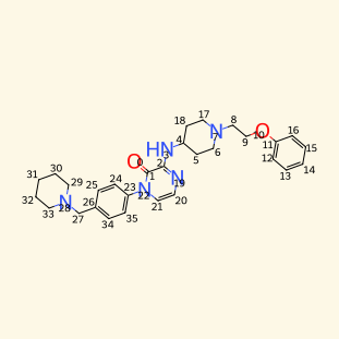 O=c1c(NC2CCN(CCOc3ccccc3)CC2)nccn1-c1ccc(CN2CCCCC2)cc1